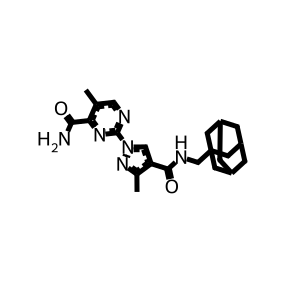 Cc1cnc(-n2cc(C(=O)NCC34CC5CC(CC(C5)C3)C4)c(C)n2)nc1C(N)=O